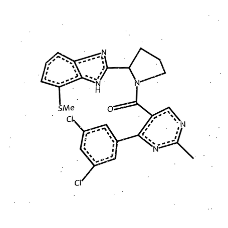 CSc1cccc2nc(C3CCCN3C(=O)c3cnc(C)nc3-c3cc(Cl)cc(Cl)c3)[nH]c12